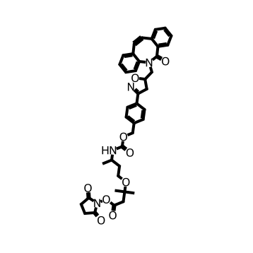 CC(CCOC(C)(C)CC(=O)ON1C(=O)CCC1=O)NC(=O)OCc1ccc(C2=NOC(CN3C(=O)c4ccccc4C#Cc4ccccc43)C2)cc1